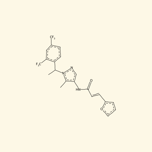 Cc1c(NC(=O)C=Cc2ccco2)cnn1C(C)c1ccc(C(F)(F)F)cc1C(F)(F)F